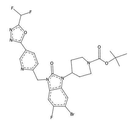 CC(C)(C)OC(=O)N1CCC(n2c(=O)n(Cc3ccc(-c4nnc(C(F)F)o4)cn3)c3cc(F)c(Br)cc32)CC1